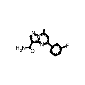 Cc1cc(-c2cccc(F)c2)nc2c(C(N)=O)cnn12